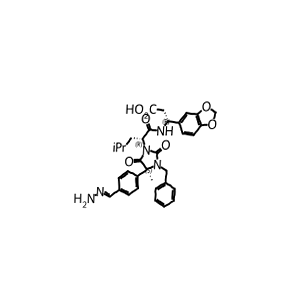 CC(C)C[C@H](C(=O)N[C@H](CC(=O)O)c1ccc2c(c1)OCO2)N1C(=O)N(Cc2ccccc2)[C@@](C)(c2ccc(C=NN)cc2)C1=O